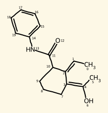 C/C=C1\C(=C(/C)O)CCCC1C(=O)Nc1ccccc1